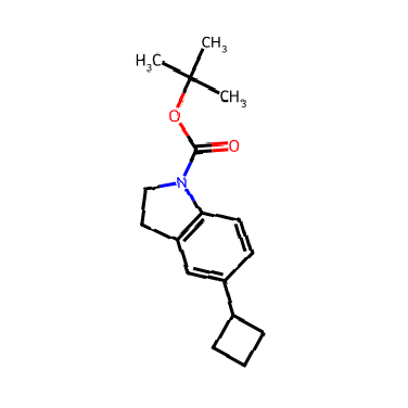 CC(C)(C)OC(=O)N1CCc2cc(C3CCC3)ccc21